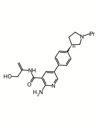 C=C(CO)NC(=O)c1cc(-c2ccc([C@H]3CCN(C(C)C)C3)cc2)cnc1N